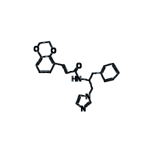 O=C(/C=C/c1cccc2c1OCCO2)NC(Cc1ccccc1)Cn1ccnc1